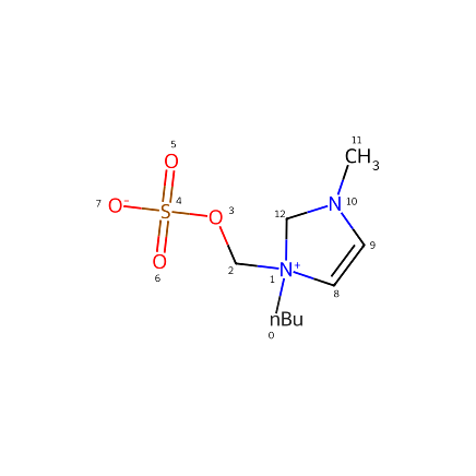 CCCC[N+]1(COS(=O)(=O)[O-])C=CN(C)C1